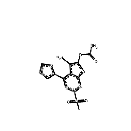 CS(=O)(=O)c1nc(-c2ccco2)c2c(N)c(OC(N)=O)sc2n1